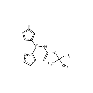 CC(C)(C)OC(=O)N[C@H](c1cc[nH]c1)c1ccco1